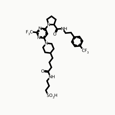 O=C(CCCC1CCN(c2cc(N3CCCC3C(=O)NCCc3ccc(C(F)(F)F)cc3)nc(C(F)(F)F)n2)CC1)NCCCS(=O)(=O)O